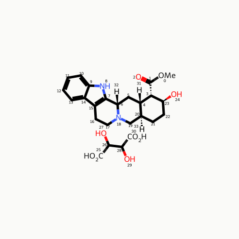 COC(=O)[C@H]1[C@H]2C[C@H]3c4[nH]c5ccccc5c4CCN3C[C@@H]2CC[C@@H]1O.O=C(O)C(O)C(O)C(=O)O